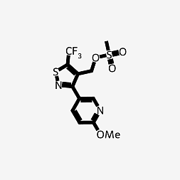 COc1ccc(-c2nsc(C(F)(F)F)c2COS(C)(=O)=O)cn1